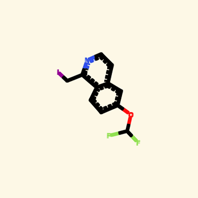 FC(F)Oc1ccc2c(CI)nccc2c1